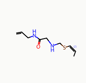 C=CCNC(=O)CNCS/C=C\C